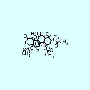 COC(=O)[C@@H]1OC(=O)C2OC23[C@@]1(C)CCC1[C@]2(C)C(C[C@@H](O)[C@]13C)C(C)(C)[C@H](OC(C)=O)C[C@@H]2OC(C)=O